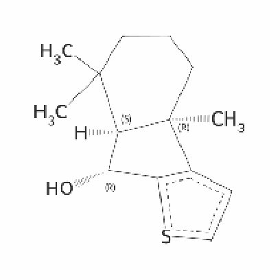 CC1(C)CCC[C@@]2(C)c3ccsc3[C@H](O)[C@@H]12